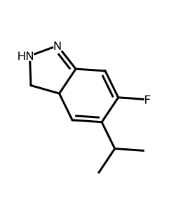 CC(C)C1=CC2CNN=C2C=C1F